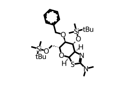 CN(C)C1=N[C@@H]2[C@@H](O[Si](C)(C)C(C)(C)C)[C@H](OCc3ccccc3)[C@@H](CO[Si](C)(C)C(C)(C)C)O[C@@H]2S1